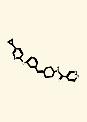 O=C(NC1CCC(=Cc2cccc(Oc3ccc(C4CC4)cn3)c2)CC1)c1ccnnc1